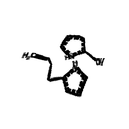 C=CCc1ccc[nH]1.Oc1ccc[nH]1